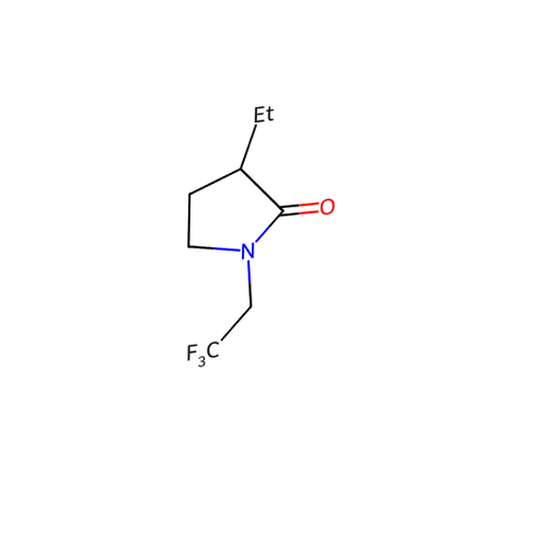 CCC1CCN(CC(F)(F)F)C1=O